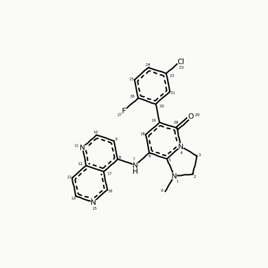 CN1CCn2c1c(Nc1ccnc3ccncc13)cc(-c1cc(Cl)ccc1F)c2=O